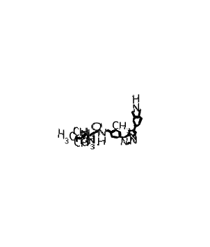 Cc1cc(-c2ncnn3cc(-c4ccc5c(c4)CNC5)cc23)ccc1CNC(=O)c1noc(C(C)(C)C)n1